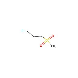 CS(=O)(=O)CCCF